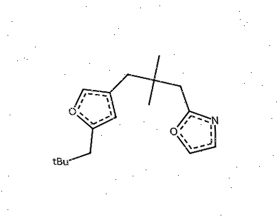 CC(C)(C)Cc1cc(CC(C)(C)Cc2ncco2)co1